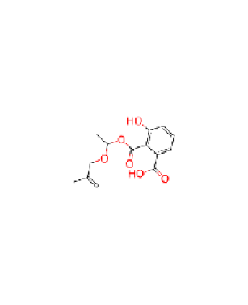 C=C(C)COC(C)OC(=O)c1c(O)cccc1C(=O)O